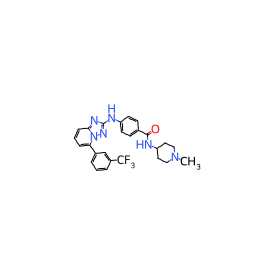 CN1CCC(NC(=O)c2ccc(Nc3nc4cccc(-c5cccc(C(F)(F)F)c5)n4n3)cc2)CC1